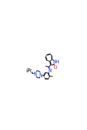 C/C(=N\c1cc(N2CCN(CC(C)C)CC2)ccc1C)c1c2cccccc-2[nH]c1=O